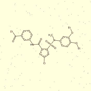 CCOc1ccc(N(C)S(=O)(=O)c2cc(Cl)sc2C(=O)Nc2cccc(C(=O)CC)c2)cc1OCC